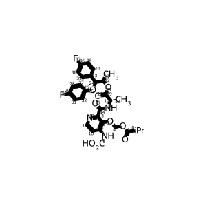 CC(C)C(=O)OCOc1c(NC(=O)O)ccnc1C(=O)N[C@@H](C)C(=O)OC(C)C(Oc1ccc(F)cc1)c1ccc(F)cc1